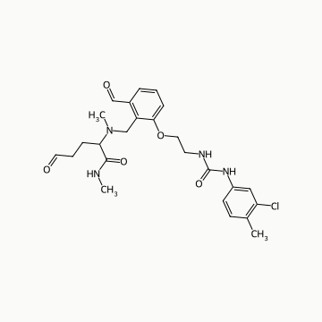 CNC(=O)C(CCC=O)N(C)Cc1c(C=O)cccc1OCCNC(=O)Nc1ccc(C)c(Cl)c1